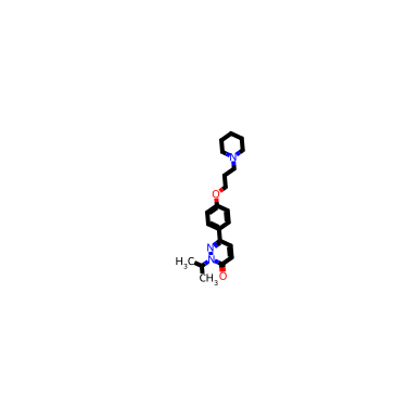 CC(C)n1nc(-c2ccc(OCCCN3CCCCC3)cc2)ccc1=O